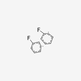 Fc1[c]cccc1.Fc1c[c]ccc1